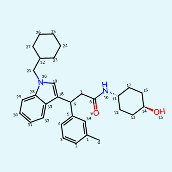 Cc1cccc(C(CC(=O)N[C@H]2CC[C@H](O)CC2)c2cn(CC3CCCCC3)c3ccccc23)c1